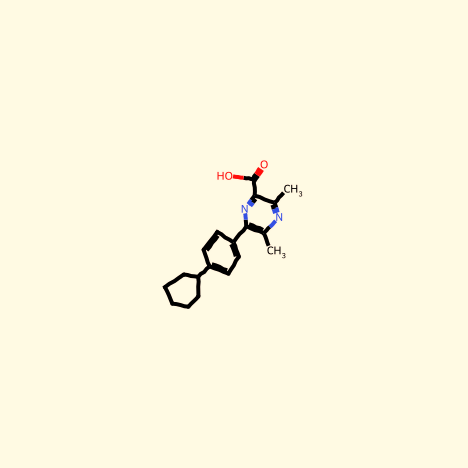 Cc1nc(C)c(-c2ccc(C3CCCCC3)cc2)nc1C(=O)O